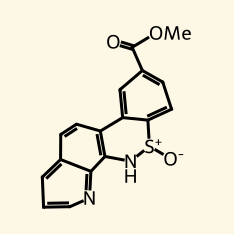 COC(=O)c1ccc2c(c1)-c1ccc3cccnc3c1N[S+]2[O-]